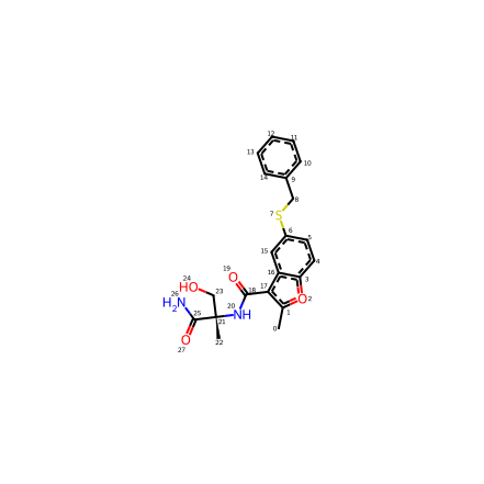 Cc1oc2ccc(SCc3ccccc3)cc2c1C(=O)N[C@@](C)(CO)C(N)=O